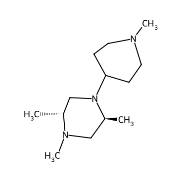 C[C@@H]1CN(C2CCN(C)CC2)[C@@H](C)CN1C